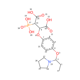 CCC(Oc1ccc(OC(C(=O)O)C(C(=O)O)P(=O)(O)O)cc1)N1CCCC1